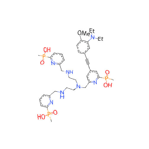 CCN(CC)c1cc(C#Cc2cc(CN(CCNCc3cccc(P(C)(=O)O)n3)CCNCc3cccc(P(C)(=O)O)n3)nc(P(C)(=O)O)c2)ccc1OC